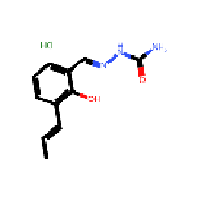 CC=Cc1cccc(C=NNC(N)=O)c1O.Cl